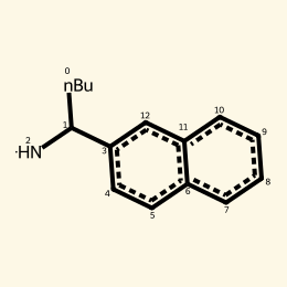 CCCCC([NH])c1ccc2ccccc2c1